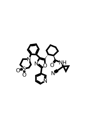 N#CC1(NC(=O)[C@@H]2CCCC[C@H]2c2oc(-c3cccnc3)nc2-c2ccccc2N2CCS(=O)(=O)CC2)CC1